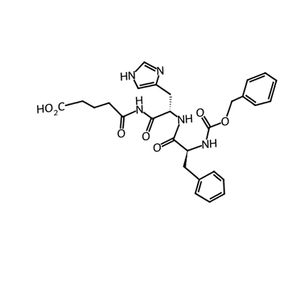 O=C(O)CCCC(=O)NC(=O)[C@H](Cc1c[nH]cn1)NC(=O)[C@H](Cc1ccccc1)NC(=O)OCc1ccccc1